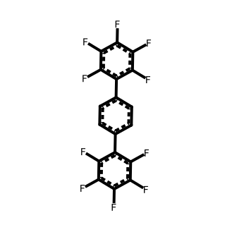 Fc1c(F)c(F)c(-c2ccc(-c3c(F)c(F)c(F)c(F)c3F)cc2)c(F)c1F